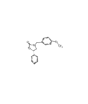 O=C1O[C@@H](c2ccccc2)CN1Cc1ccc(OC(F)(F)F)cc1